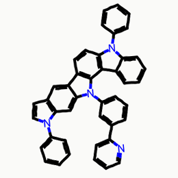 c1ccc(-n2ccc3cc4c5ccc6c(c7ccccc7n6-c6ccccc6)c5n(-c5cccc(-c6ccccn6)c5)c4cc32)cc1